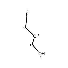 OCOCF